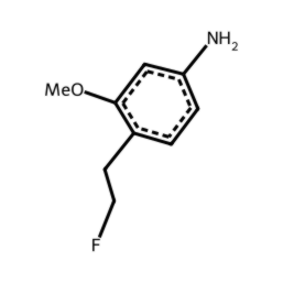 COc1cc(N)ccc1CCF